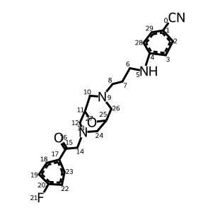 N#Cc1ccc(NCCCN2CC3CN(CC(=O)c4ccc(F)cc4)CC(C2)O3)cc1